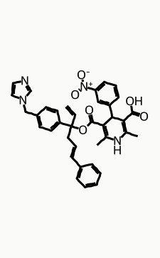 C=CC(CC=Cc1ccccc1)(OC(=O)C1=C(C)NC(C)=C(C(=O)O)C1c1cccc([N+](=O)[O-])c1)c1ccc(Cn2ccnc2)cc1